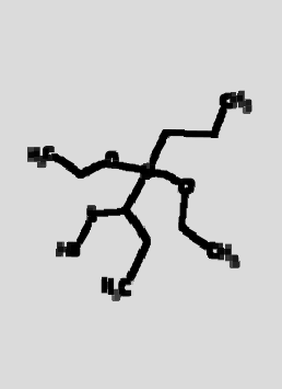 CCC[Si](OCC)(OCC)C(CC)SS